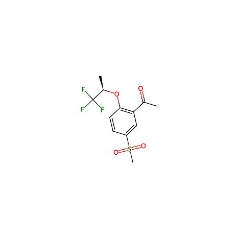 CC(=O)c1cc(S(C)(=O)=O)ccc1O[C@H](C)C(F)(F)F